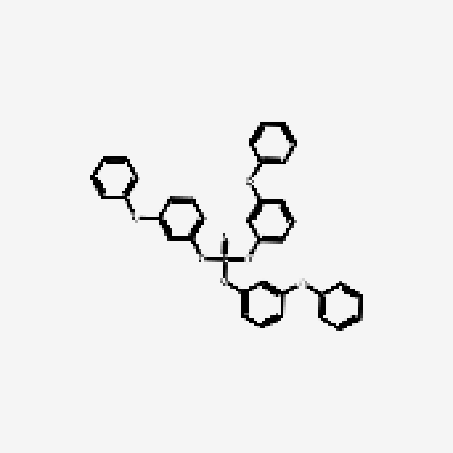 O=P(Oc1cccc(Oc2ccccc2)c1)(Oc1cccc(Oc2ccccc2)c1)Oc1cccc(Oc2ccccc2)c1